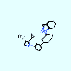 O=C(O)c1cnn(-c2cccc(C3CCCC(n4ncc5c4CCCC5)C3)c2)c1C1CC1